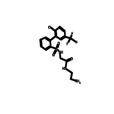 NCCNC(=O)CNS(=O)(=O)c1ccccc1-c1cc(C(F)(F)F)ccc1Cl